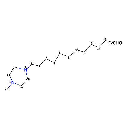 CN1CCN(CCCCCCCCCCC[C]=O)CC1